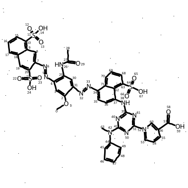 COc1cc(N=Nc2cc3c(S(=O)(=O)O)cccc3cc2S(=O)(=O)O)c(NC(C)=O)cc1N=Nc1ccc(Nc2nc(N(C)c3ccccc3)nc(-[n+]3cccc(C(=O)O)c3)n2)c2c(S(=O)(=O)O)cccc12